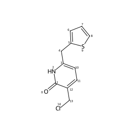 O=c1[nH]c(Cc2cccs2)ccc1CCl